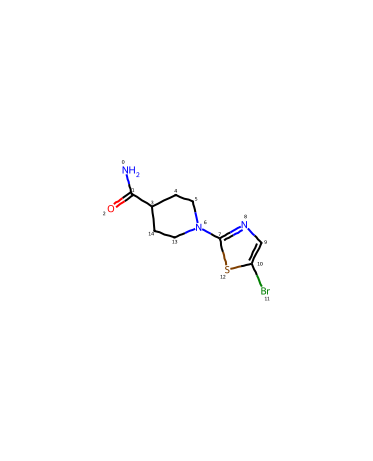 NC(=O)C1CCN(c2ncc(Br)s2)CC1